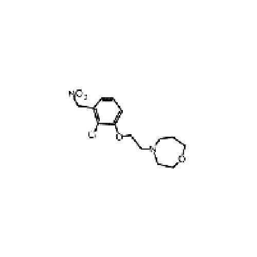 O=[N+]([O-])Cc1cccc(OCCN2CCCOCC2)c1Cl